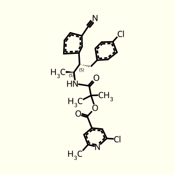 Cc1cc(C(=O)OC(C)(C)C(=O)N[C@@H](C)[C@@H](Cc2ccc(Cl)cc2)c2cccc(C#N)c2)cc(Cl)n1